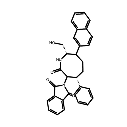 O=C1N[C@H](CO)C(c2ccc3ccccc3c2)CC[C@H](c2ccccc2)C1N1C(=O)c2ccccc2C1=O